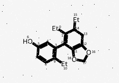 CCC1=C(c2cc(O)ccc2CC)C2=C(CC1CC)OCO2